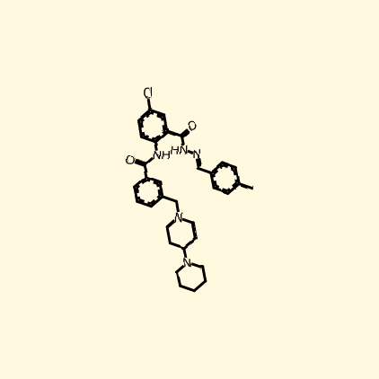 Cc1ccc(C=NNC(=O)c2cc(Cl)ccc2NC(=O)c2cccc(CN3CCC(N4CCCCC4)CC3)c2)cc1